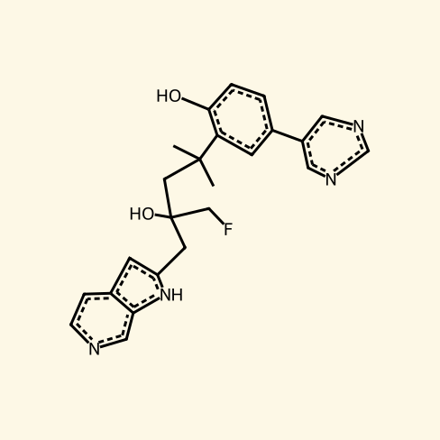 CC(C)(CC(O)(CF)Cc1cc2ccncc2[nH]1)c1cc(-c2cncnc2)ccc1O